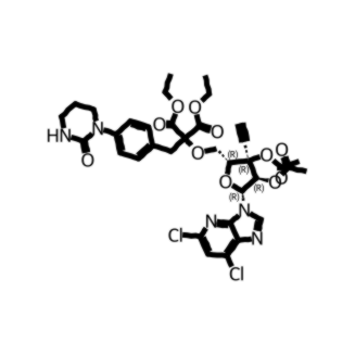 C#C[C@@]1(OC(C)=O)[C@@H](COC(Cc2ccc(N3CCCNC3=O)cc2)(C(=O)OCC)C(=O)OCC)O[C@@H](n2cnc3c(Cl)cc(Cl)nc32)[C@@H]1OC(C)=O